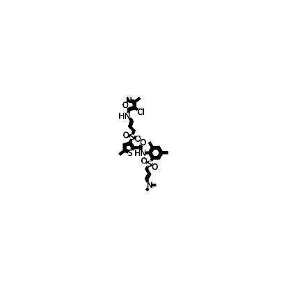 Cc1cc(C)c(NC(=O)c2sc(C)cc2S(=O)(=O)CC=CNc2onc(C)c2Cl)c(S(=O)(=O)CC=CN(C)C)c1